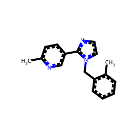 Cc1ccc(-c2nccn2Cc2ccccc2C)cn1